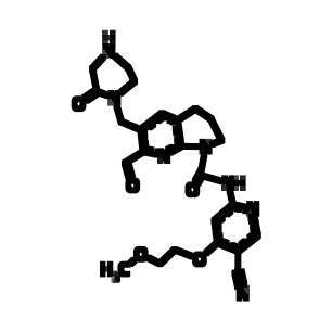 COCCOc1cc(NC(=O)N2CCCc3cc(CN4CCNCC4=O)c(C=O)nc32)ncc1C#N